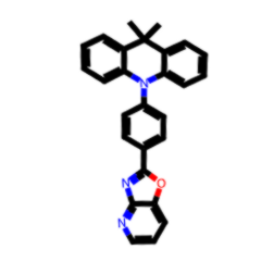 CC1(C)c2ccccc2N(c2ccc(-c3nc4ncccc4o3)cc2)c2ccccc21